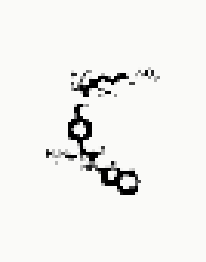 CC(C)(CCCO[N+](=O)[O-])C(=O)OCc1ccc([C@@H](CN)C(=O)Nc2cc3ccncc3s2)cc1